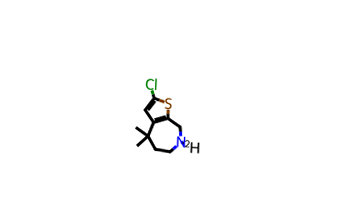 [2H]N1CCC(C)(C)c2cc(Cl)sc2C1